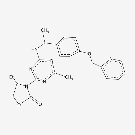 CCC1COC(=O)N1c1nc(C)nc(NC(C)c2ccc(OCc3ccccn3)cc2)n1